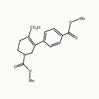 CCOC(=O)C1=C(c2ccc(C(=O)OC(C)(C)C)cc2)CN(C(=O)OC(C)(C)C)CC1